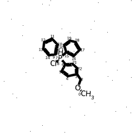 COCc1ccc([PH](Cl)(c2ccccc2)c2ccccc2)cc1